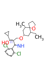 CCC1CC(OC/C(C(=N)c2c(Cl)cccc2Cl)=C(/O)C2CC2)CC(C)C12CCCO2